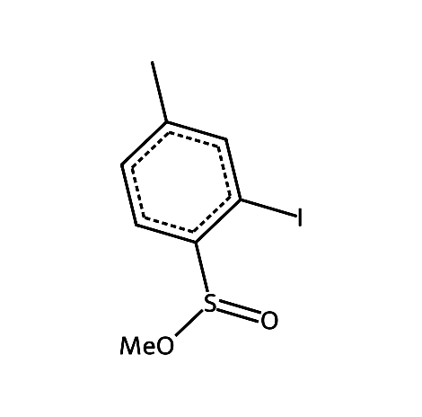 COS(=O)c1ccc(C)cc1I